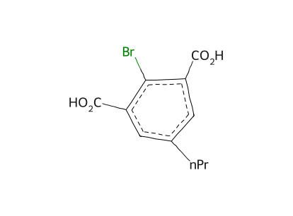 CCCc1cc(C(=O)O)c(Br)c(C(=O)O)c1